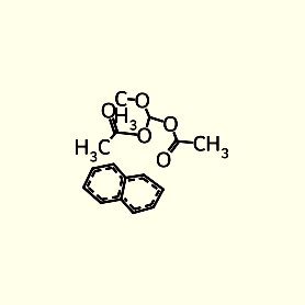 COC(OC(C)=O)OC(C)=O.c1ccc2ccccc2c1